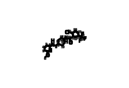 COc1cccc(NCC2CCC(NC(=O)c3cc(C(F)(F)F)ccc3Cl)CC2)n1